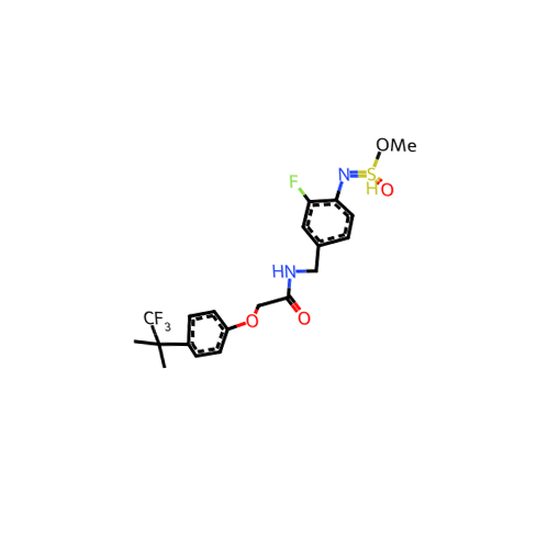 CO[SH](=O)=Nc1ccc(CNC(=O)COc2ccc(C(C)(C)C(F)(F)F)cc2)cc1F